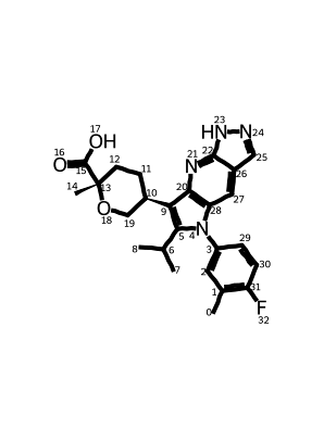 Cc1cc(-n2c(C(C)C)c([C@@H]3CC[C@@](C)(C(=O)O)OC3)c3nc4[nH]ncc4cc32)ccc1F